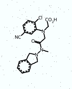 CN(C(=O)CN(CC(=O)O)c1cc(C#N)ccc1Cl)N1Cc2ccccc2C1